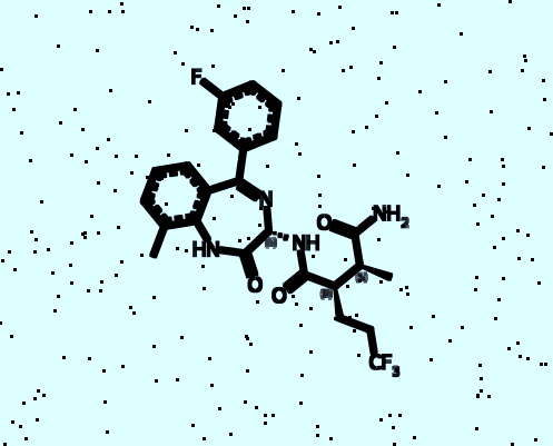 Cc1cccc2c1NC(=O)[C@@H](NC(=O)[C@H](CCC(F)(F)F)[C@H](C)C(N)=O)N=C2c1cccc(F)c1